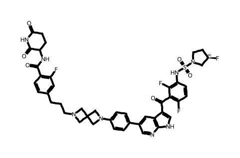 O=C1CCC(NC(=O)c2ccc(CCCN3CC4(C3)CN(c3ccc(-c5cnc6[nH]cc(C(=O)c7c(F)ccc(NS(=O)(=O)N8CC[C@@H](F)C8)c7F)c6c5)cc3)C4)cc2F)C(=O)N1